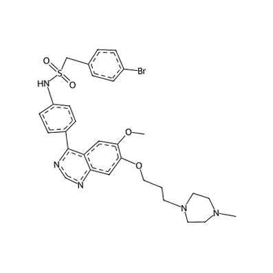 COc1cc2c(-c3ccc(NS(=O)(=O)Cc4ccc(Br)cc4)cc3)ncnc2cc1OCCCN1CCN(C)CC1